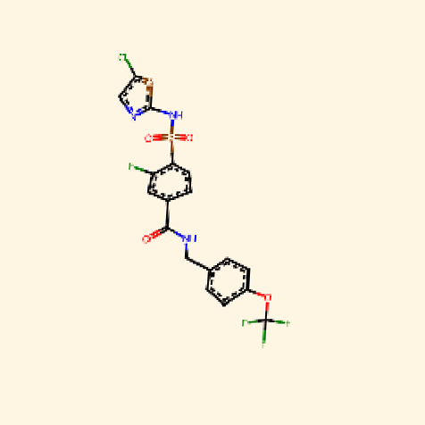 O=C(NCc1ccc(OC(F)(F)F)cc1)c1ccc(S(=O)(=O)Nc2ncc(Cl)s2)c(F)c1